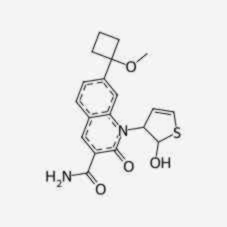 COC1(c2ccc3cc(C(N)=O)c(=O)n(C4C=CSC4O)c3c2)CCC1